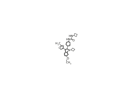 CCOc1ccc2c(-c3coc(C)n3)c(-c3ccc(NC(=O)NC4CCC4)cc3)n(C3CCC3)c2c1